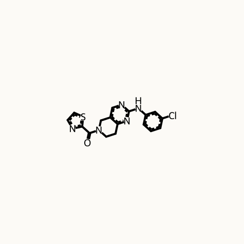 O=C(c1nccs1)N1CCc2nc(Nc3cccc(Cl)c3)ncc2C1